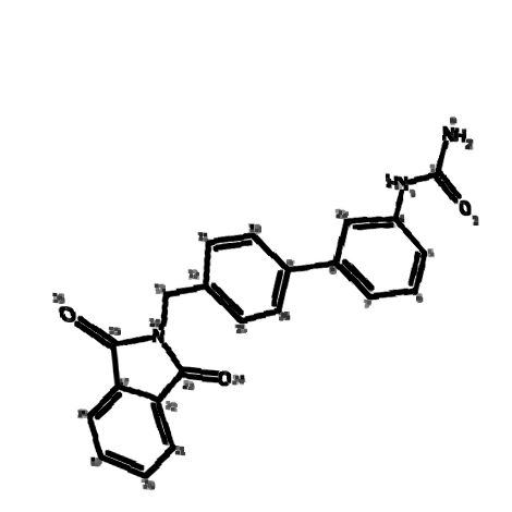 NC(=O)Nc1cccc(-c2ccc(CN3C(=O)c4ccccc4C3=O)cc2)c1